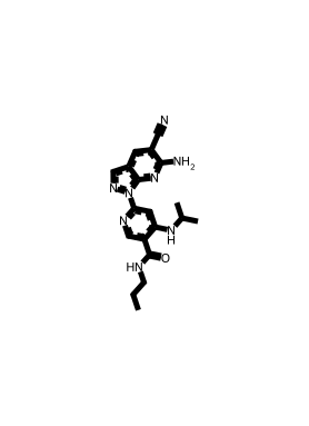 CCCNC(=O)c1cnc(-n2ncc3cc(C#N)c(N)nc32)cc1NC(C)C